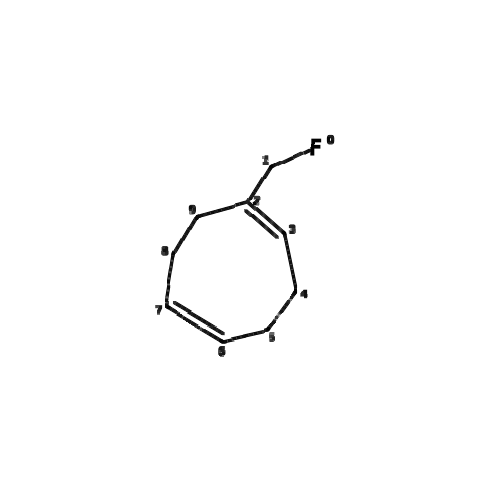 FCC1=CCCC=CCC1